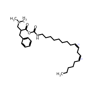 CCCCC/C=C\C/C=C\CCCCCCCCNC(=O)OC(=O)C(Cc1ccccc1)CN(C)C